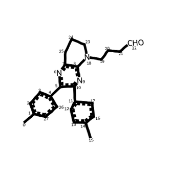 Cc1ccc(-c2nc3c(nc2-c2ccc(C)cc2)N(CCCC=O)CCC3)cc1